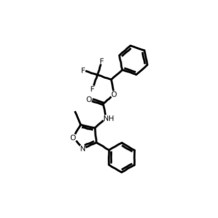 Cc1onc(-c2ccccc2)c1NC(=O)OC(c1ccccc1)C(F)(F)F